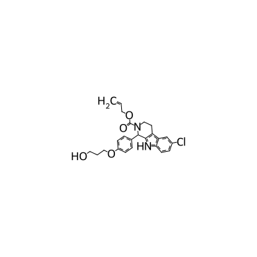 C=CCOC(=O)N1CCc2c([nH]c3ccc(Cl)cc23)C1c1ccc(OCCCO)cc1